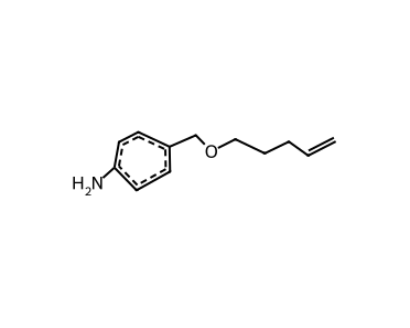 C=CCCCOCc1ccc(N)cc1